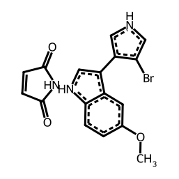 COc1ccc2[nH]cc(-c3c[nH]cc3Br)c2c1.O=C1C=CC(=O)N1